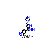 COc1ncnc2ccc(-c3c[nH]c4ncc(CN5CCN(C)CC5)cc34)cc12